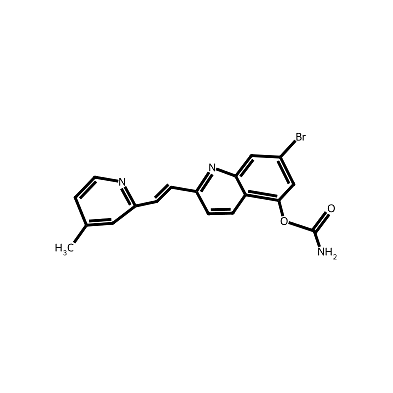 Cc1ccnc(/C=C/c2ccc3c(OC(N)=O)cc(Br)cc3n2)c1